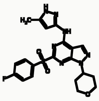 Cc1cc(Nc2nc(S(=O)(=O)c3ccc(F)cc3)nc3c2cnn3C2CCOCC2)n[nH]1